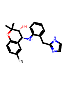 CC1(C)Oc2ccc(C#N)cc2[C@H](Nc2ccccc2Cc2ncc[nH]2)[C@H]1O